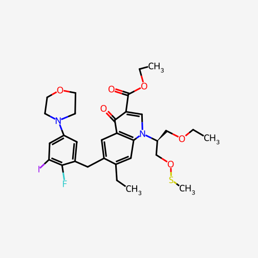 CCOC[C@@H](COSC)n1cc(C(=O)OCC)c(=O)c2cc(Cc3cc(N4CCOCC4)cc(I)c3F)c(CC)cc21